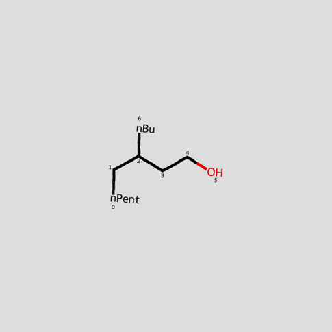 CCCCCCC(CCO)CCCC